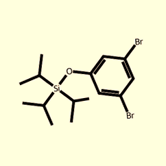 CC(C)[Si](Oc1cc(Br)cc(Br)c1)(C(C)C)C(C)C